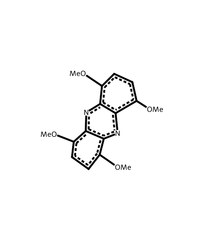 COc1ccc(OC)c2nc3c(OC)ccc(OC)c3nc12